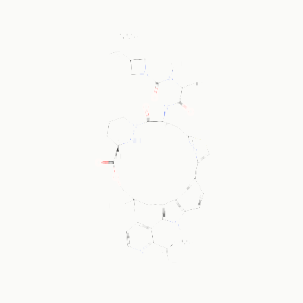 CCn1c(-c2cccnc2[C@H](C)OC)c2c3cc(ccc31)-c1csc(n1)C[C@H](NC(=O)C(C(C)C)N(C)C(=O)N1CC([C@H](C)NC)C1)C(=O)N1CCC[C@H](N1)C(=O)OCC(C)(C)C2